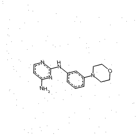 Nc1ccnc(Nc2cccc(N3CCOCC3)c2)n1